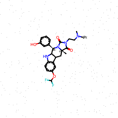 CC(C)N(C)CCN1C(=O)N2[C@H](c3cccc(O)c3)C3Nc4ccc(OC(F)F)cc4C3C[C@@]2(C)C1=O